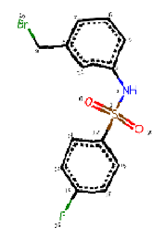 O=S(=O)(Nc1cccc(CBr)c1)c1ccc(F)cc1